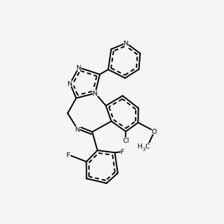 COc1ccc2c(c1Cl)C(c1c(F)cccc1F)=NCc1nnc(-c3cccnc3)n1-2